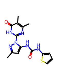 Cc1cc(NC(=O)Nc2cccs2)n(-c2nc(C)c(C)c(=O)[nH]2)n1